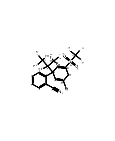 N#Cc1ccccc1C1(C(F)(C(F)(F)F)C(F)(F)F)C=C(Br)[CH]C(S(=O)(=O)C(F)(F)F)=C1